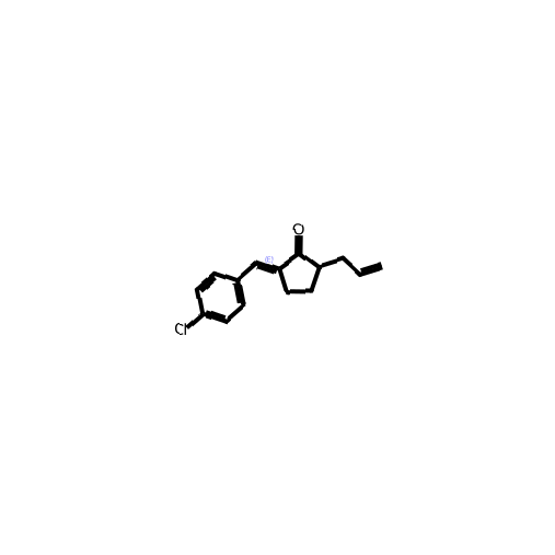 C=CCC1CC/C(=C\c2ccc(Cl)cc2)C1=O